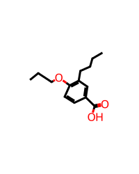 CCCCc1cc(C(=O)O)ccc1OCCC